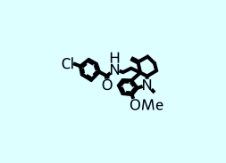 C=C1CCCC2N(C)c3c(OC)cccc3C12CCNC(=O)c1ccc(Cl)cc1